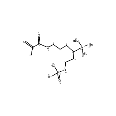 C=C(C)C(=O)OCCCC(CCOP(=O)(O)O)[N+](CCCC)(CCCC)CCCC